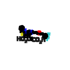 CN(C1=Nc2ccccc2CS1)C1CCN(CCCCOCCc2ccc(F)c(F)c2)CC1.O=C(O)/C=C/C(=O)O